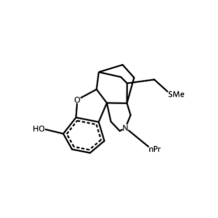 CCCN1CCC23c4cccc(O)c4OC2C2CCC3(C1)C(CSC)C2